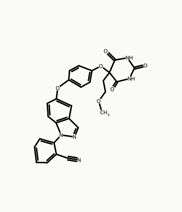 COCCC1(Oc2ccc(Oc3ccc4c(cnn4-c4ccccc4C#N)c3)cc2)C(=O)NC(=O)NC1=O